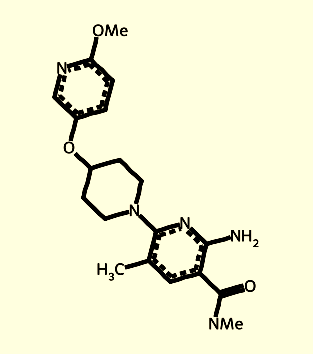 CNC(=O)c1cc(C)c(N2CCC(Oc3ccc(OC)nc3)CC2)nc1N